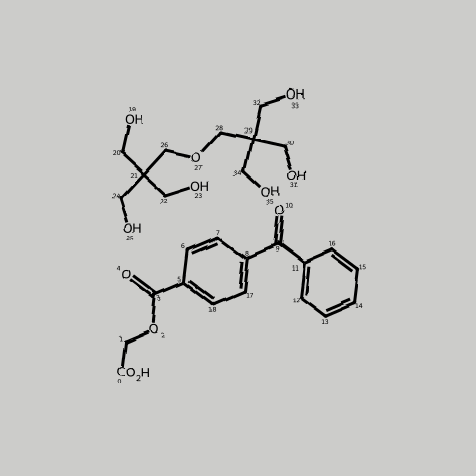 O=C(O)COC(=O)c1ccc(C(=O)c2ccccc2)cc1.OCC(CO)(CO)COCC(CO)(CO)CO